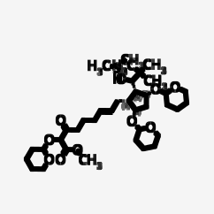 COC(=O)C(OC1CCCCO1)C(=O)CCCC=CC[C@@H]1[C@H](C(O[SiH](C)C)C(C)(C)C)[C@H](OC2CCCCO2)C[C@@H]1OC1CCCCO1